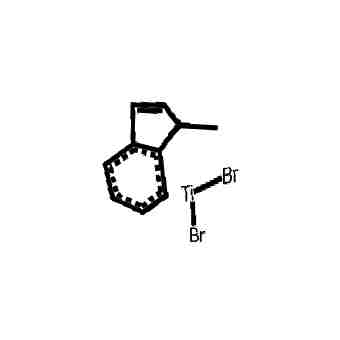 C[C]1C=Cc2ccccc21.[Br][Ti][Br]